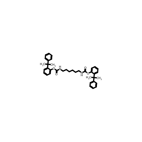 CC(C)(c1ccccc1)c1ccccc1OC(=O)NCCCCCCNC(=O)Oc1ccccc1C(C)(C)c1ccccc1